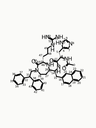 CC(=O)N[C@@H](Cc1cnc[nH]1)C(=O)N[C@@H](Cc1ccc2ccccc2c1)[C@H]1CCN(CC(c2ccccc2)c2ccccc2)C(=O)[C@H](CCCNC(=N)N)N1